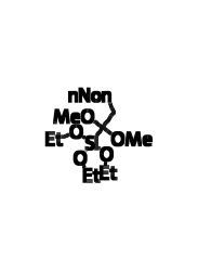 CCCCCCCCCCC(OC)(OC)[Si](OCC)(OCC)OCC